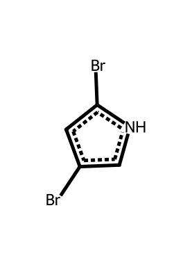 Brc1c[nH]c(Br)c1